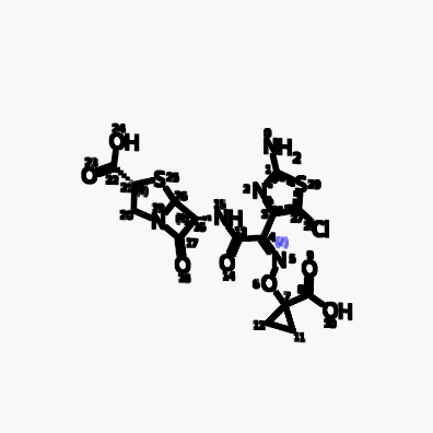 Nc1nc(/C(=N/OC2(C(=O)O)CC2)C(=O)N[C@@H]2C(=O)N3C[C@H](C(=O)O)SC23)c(Cl)s1